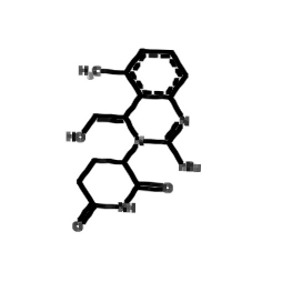 CCCCC1=Nc2cccc(C)c2/C(=C/O)N1C1CCC(=O)NC1=O